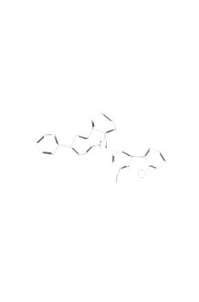 Ic1cc(-n2c3ccccc3c3cc(-c4ccccc4)ccc32)cc2c1oc1ccccc12